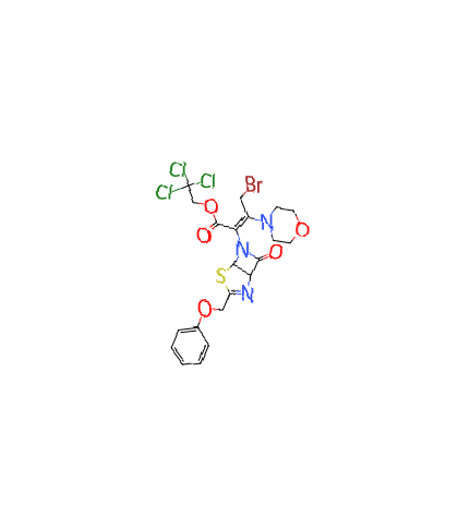 O=C(OCC(Cl)(Cl)Cl)C(=C(CBr)N1CCOCC1)N1C(=O)C2N=C(COc3ccccc3)SC21